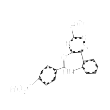 CCCSc1nnc2c(n1)OC(c1ccc(C(=O)O)cc1)Nc1ccccc1-2